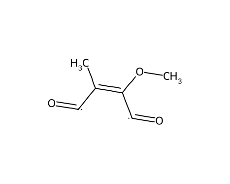 CO/C([C]=O)=C(\C)[C]=O